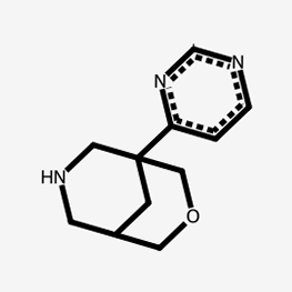 [c]1nccc(C23CNCC(COC2)C3)n1